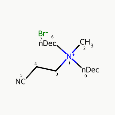 CCCCCCCCCC[N+](C)(CCC#N)CCCCCCCCCC.[Br-]